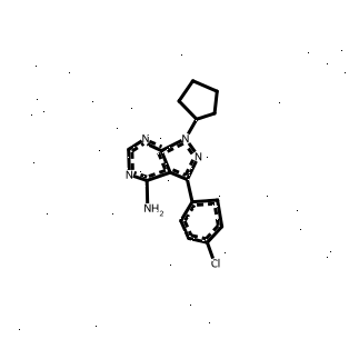 Nc1ncnc2c1c(-c1ccc(Cl)cc1)nn2C1CCCC1